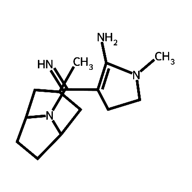 CC1CC2CCC(C1)N2C(=N)C1=C(N)N(C)CC1